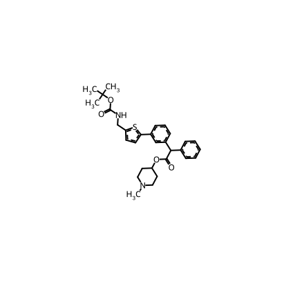 CN1CCC(OC(=O)C(c2ccccc2)c2cccc(-c3ccc(CNC(=O)OC(C)(C)C)s3)c2)CC1